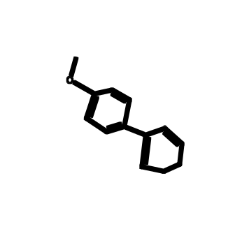 COc1ccc(C2=CCCC=[C]2)cc1